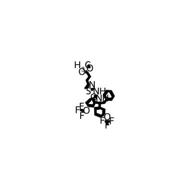 COC(=O)CCc1csc(NC(=O)NC(Cc2ccccc2)(c2cccc(OC(F)(F)F)c2)c2cccc(OC(F)(F)F)c2)n1